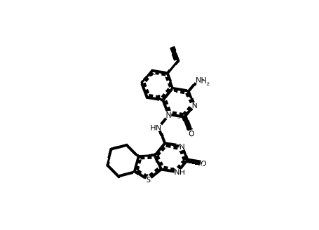 C=Cc1cccc2c1c(N)nc(=O)n2Nc1nc(=O)[nH]c2sc3c(c12)CCCC3